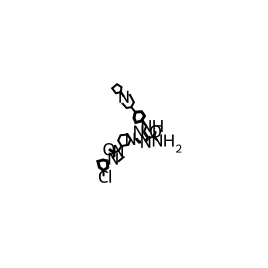 NC(=O)c1ncc(N2CCCC(N3CCN(c4cccc(Cl)c4)C3=O)C2)nc1Nc1ccc(C2CCN(C3CCCC3)CC2)cc1